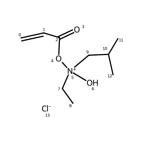 C=CC(=O)O[N+](O)(CC)CC(C)C.[Cl-]